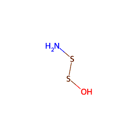 NSSO